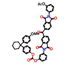 COc1ccc(C2(c3ccc(OC(=O)Oc4cccc(N5C(=O)c6ccc(C(=O)c7ccc8c(c7)C(=O)N(c7cccc(OC(C)=O)c7)C8=O)cc6C5=O)c4)cc3)CCCCC2)cc1